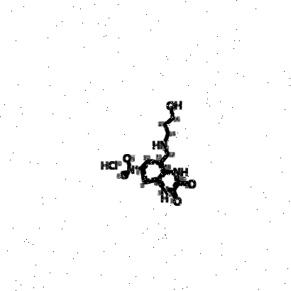 Cl.O=c1[nH]c2cc([N+](=O)[O-])cc(CNCCCO)c2[nH]c1=O